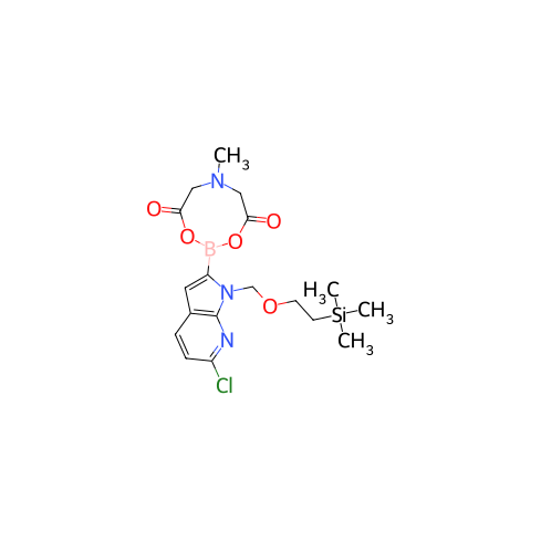 CN1CC(=O)OB(c2cc3ccc(Cl)nc3n2COCC[Si](C)(C)C)OC(=O)C1